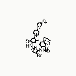 COc1cc(N2CCC(N3CC[C@H](N(C)C)C3)CC2)c(C)cc1Nc1ncc(Br)c(Nc2ccc3c(c2P(C)(C)=O)OCCO3)n1